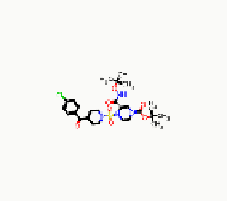 CC(C)(C)ONC(=O)[C@H]1CN(C(=O)OC(C)(C)C)CCN1S(=O)(=O)N1CCC(C(=O)c2ccc(Cl)cc2)CC1